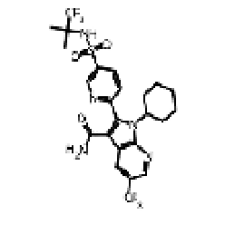 CC(C)(NS(=O)(=O)c1ccc(-c2c(C(N)=O)c3cc(C(F)(F)F)cnc3n2C2CCCCC2)nc1)C(F)(F)F